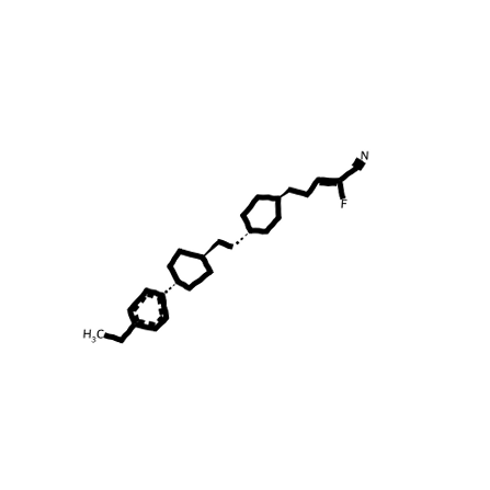 CCc1ccc([C@H]2CC[C@H](CC[C@H]3CC[C@H](CCC=C(F)C#N)CC3)CC2)cc1